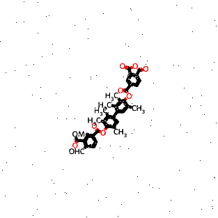 COC(=O)c1cc(C(=O)Oc2c(C)cc(-c3cc(C)c(OC(=O)c4ccc5c(c4)C(=O)OC5=O)c(C)c3C)c(C)c2C)ccc1C=O